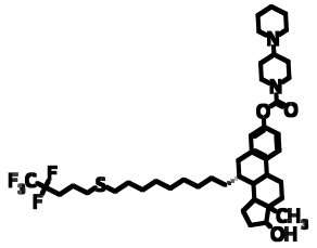 CC12CCC3c4ccc(OC(=O)N5CCC(N6CCCCC6)CC5)cc4C[C@@H](CCCCCCCCCSCCCC(F)(F)C(F)(F)F)C3C1CCC2O